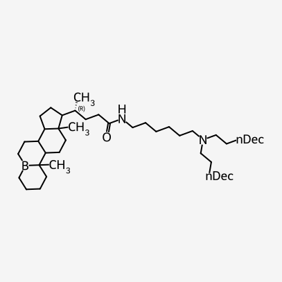 CCCCCCCCCCCCN(CCCCCCCCCCCC)CCCCCCNC(=O)CC[C@@H](C)C1CCC2C3CCB4CCCCC4(C)C3CCC21C